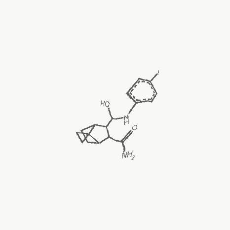 NC(=O)C1C(C(O)Nc2ccc(I)cc2)C2CCC1C21CC1